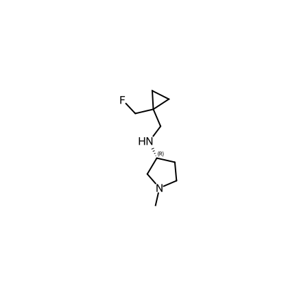 CN1CC[C@@H](NCC2(CF)CC2)C1